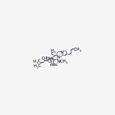 C/C=C\C=C/C1=CC2CN(/C(CCC(CC)(C/C=C(/C)C=C(C)C)CCCC)=N\C)/C(=C(/C)C=O)CCN2CC1